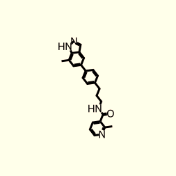 Cc1ncccc1C(=O)NCCCc1ccc(-c2cc(C)c3[nH]ncc3c2)cc1